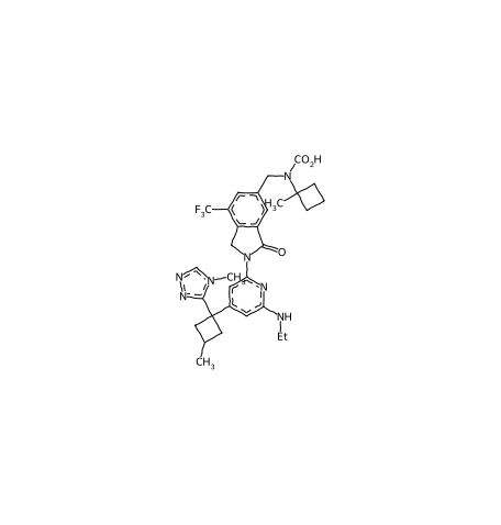 CCNc1cc(C2(c3nncn3C)CC(C)C2)cc(N2Cc3c(cc(CN(C(=O)O)C4(C)CCC4)cc3C(F)(F)F)C2=O)n1